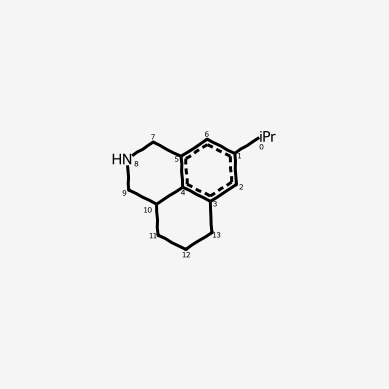 CC(C)c1cc2c3c(c1)CNCC3CCC2